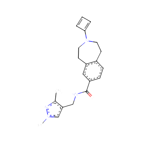 CCn1cc(CNC(=O)c2ccc3c(c2)CCN(C2=CC=C2)CC3)c(C)n1